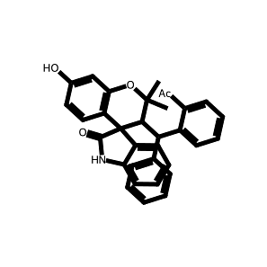 CC(=O)c1ccccc1C(c1ccccc1)C1C(C)(C)Oc2cc(O)ccc2C12C(=O)Nc1ccccc12